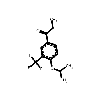 CCC(=O)c1ccc(OC(C)C)c(C(F)(F)F)c1